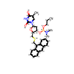 Cc1cn([C@H]2C[C@H](OP(OCCC#N)N(C(C)C)C(C)C)[C@@H](CSCc3c4ccccc4cc4ccccc34)O2)c(=O)[nH]c1=O